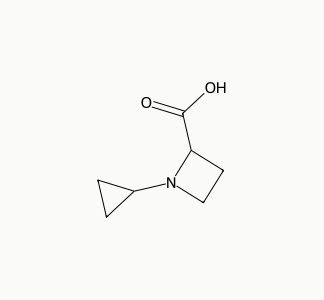 O=C(O)C1CCN1C1CC1